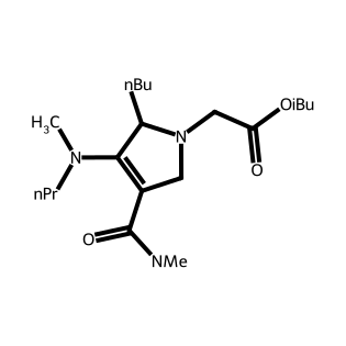 CCCCC1C(N(C)CCC)=C(C(=O)NC)CN1CC(=O)OCC(C)C